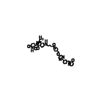 Cc1nn(C2CCC(=O)NC2=O)c(=O)c2ccc(NCCCC(=O)N3CCC(COc4cnc(-c5cccc(Cn6ncccc6=O)c5)nc4)CC3)cc12